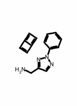 NCc1cnn(-c2ccccc2)n1.c1cc2ccc1-2